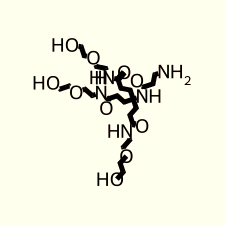 NCCC(=O)NC(CCC(=O)NCCOCCO)(CCC(=O)NCCOCCO)CCC(=O)NCCOCCO